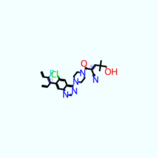 C=C/C(F)=C(\C=C)c1cc2ncnc(N3CCN(C(=O)/C(C#N)=C/C(C)(C)CO)CC3)c2cc1Cl